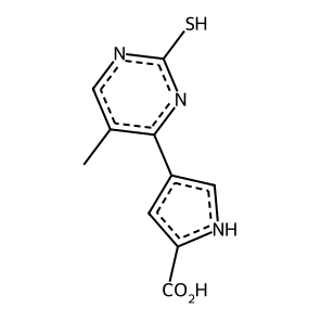 Cc1cnc(S)nc1-c1c[nH]c(C(=O)O)c1